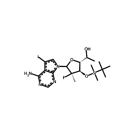 CC(O)[C@H]1OC(n2cc(I)c3c(N)ncnc32)[C@](C)(F)[C@@H]1O[Si](C)(C)C(C)(C)C